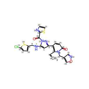 C=Cc1c(-c2cc(NCc3ccc(Cl)s3)n(C(=O)c3nccs3)n2)ccc(=O)n1Cc1cnoc1